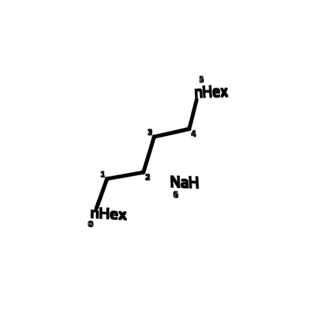 CCCCCCCCCCCCCCCC.[NaH]